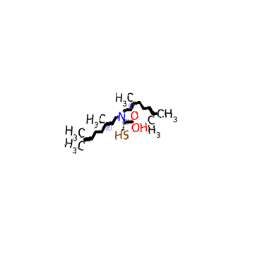 CC(C)=CCC/C(C)=C/CN(C/C=C(\C)CCC=C(C)C)[C@@H](CS)C(=O)O